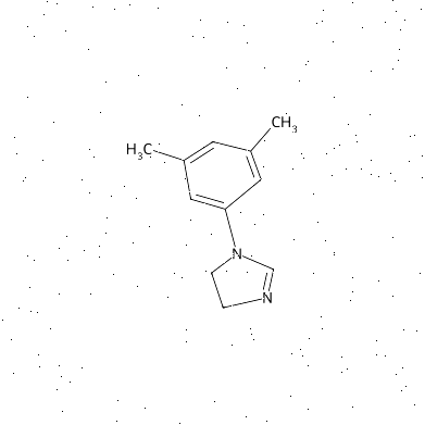 Cc1cc(C)cc(N2C=NCC2)c1